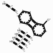 Clc1cccc2c1=c1ccccc1=2.N=C=O.N=C=O.N=C=O.N=C=O.N=C=O